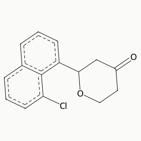 O=C1CCOC(c2cccc3cccc(Cl)c23)C1